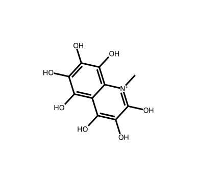 C[n+]1c(O)c(O)c(O)c2c(O)c(O)c(O)c(O)c21